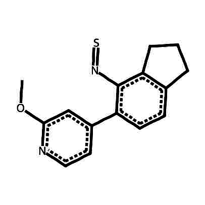 COc1cc(-c2ccc3c(c2N=S)CCC3)ccn1